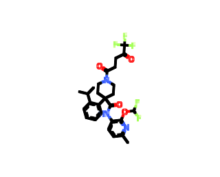 Cc1ccc(NC(=O)C2(c3ccccc3C(C)C)CCN(C(=O)CCC(=O)C(F)(F)F)CC2)c(OC(F)F)n1